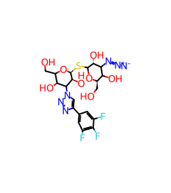 [N-]=[N+]=NC1C(O)[C@@H](CO)OC(S[C@@H]2OC(CO)[C@H](O)C(n3cc(-c4cc(F)c(F)c(F)c4)nn3)[C@@H]2O)[C@@H]1O